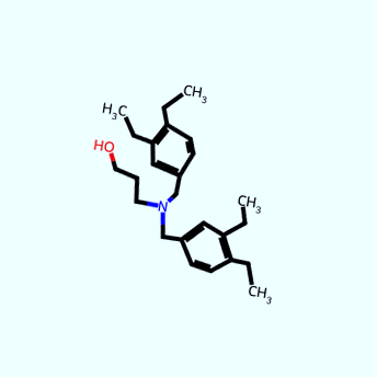 CCc1ccc(CN(CCCO)Cc2ccc(CC)c(CC)c2)cc1CC